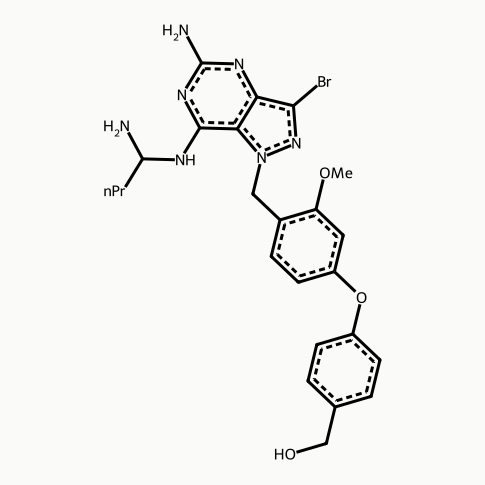 CCCC(N)Nc1nc(N)nc2c(Br)nn(Cc3ccc(Oc4ccc(CO)cc4)cc3OC)c12